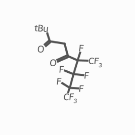 CC(C)(C)C(=O)CC(=O)C(F)(C(F)(F)F)C(F)(F)C(F)(F)C(F)(F)F